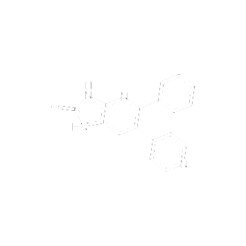 O=c1[nH]c2cc(-c3ccncc3)c(-c3ccccc3)nc2[nH]1